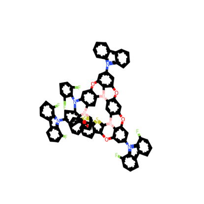 Fc1cccc(F)c1N1c2cc3c(cc2B2c4sc5ccccc5c4Oc4cc(-n5c6c(F)cccc6c6cccc(F)c65)cc1c42)B1c2cc4c(cc2Oc2cc(-n5c6ccccc6c6ccccc65)cc(c21)O3)Oc1cc(-n2c3c(F)cccc3c3cccc(F)c32)cc2c1B4c1sc3ccccc3c1O2